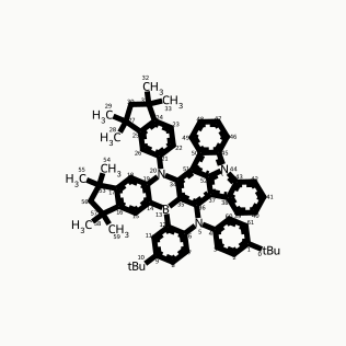 CC(C)(C)c1ccc(N2c3ccc(C(C)(C)C)cc3B3c4cc5c(cc4N(c4ccc6c(c4)C(C)(C)CC6(C)C)c4c3c2c2c3ccccc3n3c6ccccc6c4c23)C(C)(C)CC5(C)C)cc1